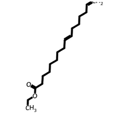 C=CCCCC/C=C/CCCCCCCC(=O)OCC